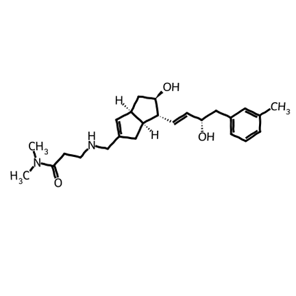 Cc1cccc(C[C@H](O)/C=C/[C@@H]2[C@H]3CC(CNCCC(=O)N(C)C)=C[C@H]3C[C@H]2O)c1